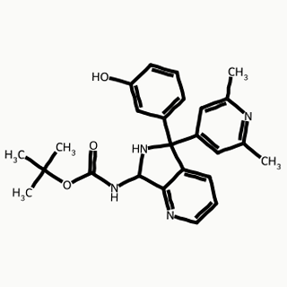 Cc1cc(C2(c3cccc(O)c3)NC(NC(=O)OC(C)(C)C)c3ncccc32)cc(C)n1